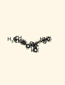 C[Si](C)(C)CCOCn1cc(-c2cccc(C(=O)Nc3nc(CCCCCC(=O)Nc4ccccc4)cn3-c3ccccc3)c2)cn1